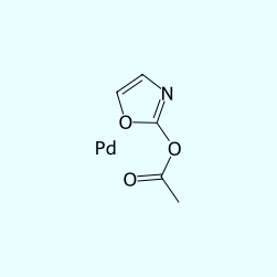 CC(=O)Oc1ncco1.[Pd]